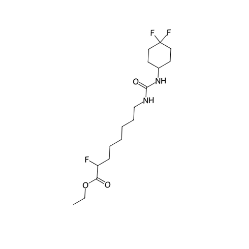 CCOC(=O)C(F)CCCCCCNC(=O)NC1CCC(F)(F)CC1